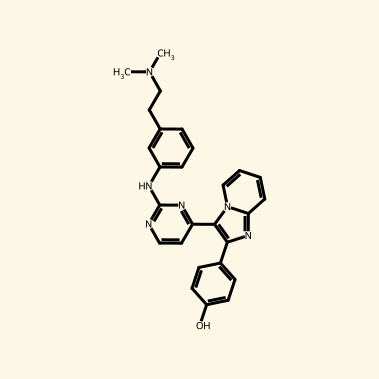 CN(C)CCc1cccc(Nc2nccc(-c3c(-c4ccc(O)cc4)nc4ccccn34)n2)c1